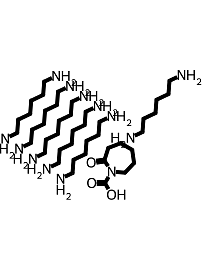 NCCCCCCN.NCCCCCCN.NCCCCCCN.NCCCCCCN.NCCCCCCN.NCCCCCCN.O=C(O)N1CCCCCC1=O